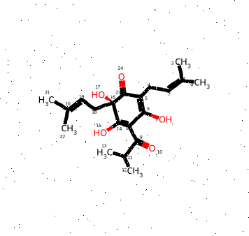 CC(C)=CCC1=C(O)C(C(=O)C(C)C)=C(O)[C@](O)(CC=C(C)C)C1=O